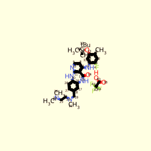 Cc1cc(F)c(Nc2ccnc3c2C(=O)Nc2cc(CN(C)CCN(C)C)ccc2N3)cc1O[Si](C)(C)C(C)(C)C.O=C(O)C(F)(F)F